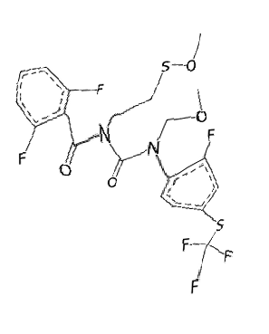 COCN(C(=O)N(CCSOC)C(=O)c1c(F)cccc1F)c1ccc(SC(F)(F)F)cc1F